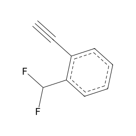 C#Cc1ccccc1C(F)F